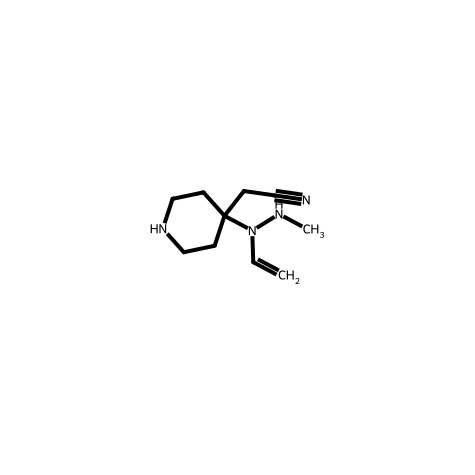 C=CN(NC)C1(CC#N)CCNCC1